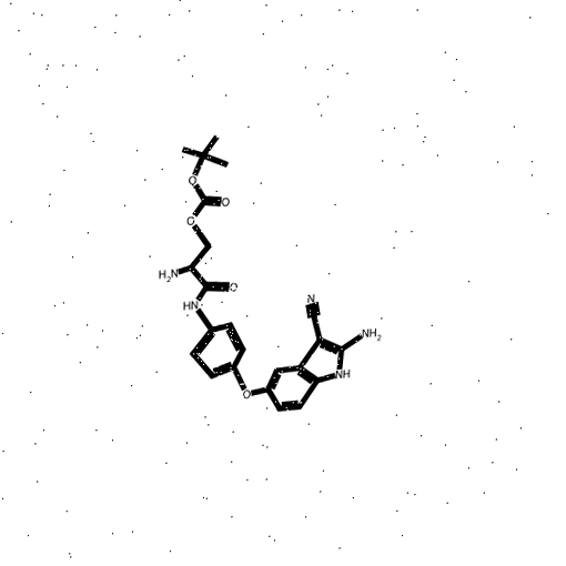 CC(C)(C)OC(=O)OCC(N)C(=O)Nc1ccc(Oc2ccc3[nH]c(N)c(C#N)c3c2)cc1